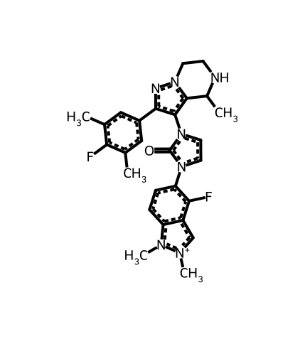 Cc1cc(-c2nn3c(c2-n2ccn(-c4ccc5c(c[n+](C)n5C)c4F)c2=O)C(C)NCC3)cc(C)c1F